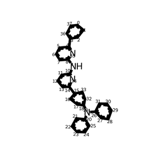 c1ccc(-c2cccc(Nc3cccc(-c4ccc(N(c5ccccc5)c5ccccc5)cc4)n3)n2)cc1